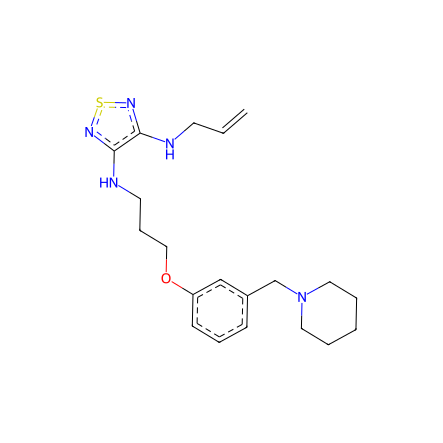 C=CCNc1nsnc1NCCCOc1cccc(CN2CCCCC2)c1